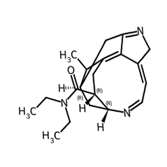 CCN(CC)C(=O)[C@@H]1CC2=C3C4=CC=N[C@@H]1C[C@H](CC3=NC4)C2C